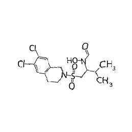 CC(C)C(CS(=O)(=O)N1CCc2cc(Cl)c(Cl)cc2C1)N(O)C=O